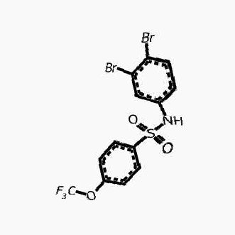 O=S(=O)(Nc1ccc(Br)c(Br)c1)c1ccc(OC(F)(F)F)cc1